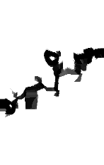 CCCCCCC(=O)CCCCO